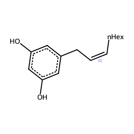 CCCCCC/C=C\Cc1cc(O)cc(O)c1